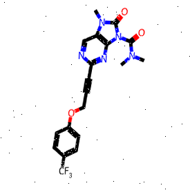 CN(C)C(=O)n1c(=O)n(C)c2cnc(C#CCOc3ccc(C(F)(F)F)cc3)nc21